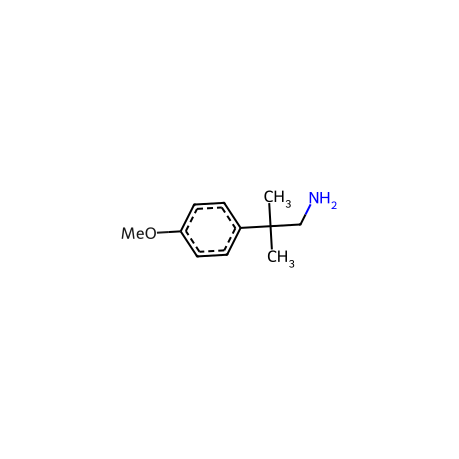 COc1ccc(C(C)(C)CN)cc1